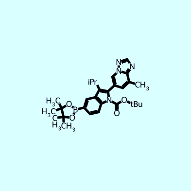 Cc1cc(-c2c(C(C)C)c3cc(B4OC(C)(C)C(C)(C)O4)ccc3n2C(=O)OC(C)(C)C)cn2ncnc12